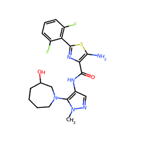 Cn1ncc(NC(=O)c2nc(-c3c(F)cccc3F)sc2N)c1N1CCCCC(O)C1